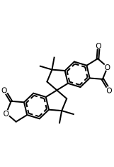 CC1(C)CC2(CC(C)(C)c3cc4c(cc32)C(=O)OC4=O)c2cc3c(cc21)COC3=O